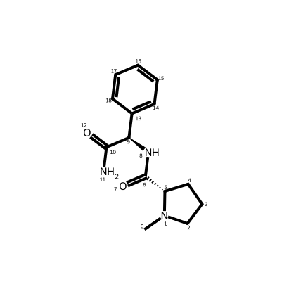 CN1CCC[C@H]1C(=O)N[C@@H](C(N)=O)c1ccccc1